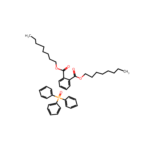 CCCCCCCCOC(=O)c1ccccc1C(=O)OCCCCCCCC.O=P(c1ccccc1)(c1ccccc1)c1ccccc1